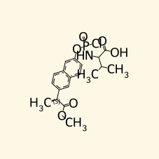 COC(=O)[C@@H](C)c1ccc2cc(OP(=O)(Cl)NC(C(=O)O)C(C)C)ccc2c1